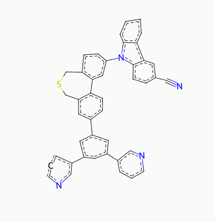 N#Cc1ccc2c(c1)c1ccccc1n2-c1ccc2c(c1)-c1ccc(-c3cc(-c4cccnc4)cc(-c4cccnc4)c3)cc1CSC2